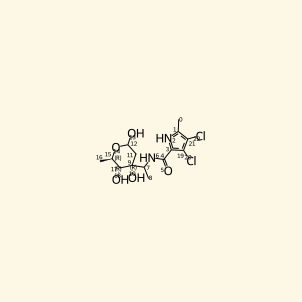 Cc1[nH]c(C(=O)NC(C)[C@]2(O)CC(O)O[C@H](C)[C@H]2O)c(Cl)c1Cl